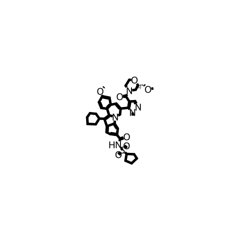 COC[C@@H]1CN(C(=O)c2cnn(C)c2C2=Cc3cc(OC)ccc3-c3c(C4CCCCC4)c4ccc(C(=O)NS(=O)(=O)C5CCCC5)cc4n3C2)CCO1